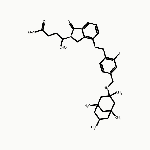 CNC(=O)CCC(C=O)N1Cc2c(SCc3ccc(CNC4(C)CC5(C)CC(C)CC(C)(C5)C4)cc3F)cccc2C1=O